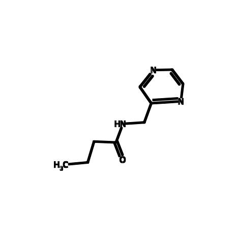 CCCC(=O)NCc1cnccn1